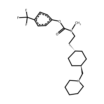 CN(CC[C@H]1CC[C@H](CN2CCCCC2)CC1)C(=O)Oc1ccc(C(F)(F)F)cc1